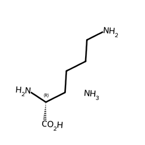 N.NCCCC[C@@H](N)C(=O)O